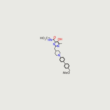 COCc1ccc(-c2ccc(N3CCC(Cc4nc(C)c(O)c(C(=O)NCC(=O)O)n4)CC3)cc2)cc1